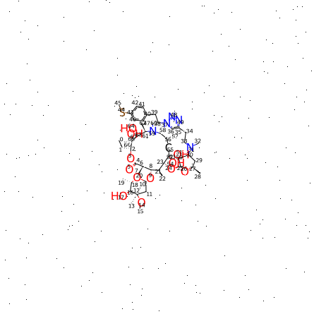 CC[C@H]1OC(=O)[C@H](C)[C@@H](O[C@H]2C[C@@](C)(OC)[C@@H](O)[C@H](C)O2)[C@H](C)[C@@H](O[C@@H]2O[C@H](C)C[C@H](N(C)CCc3cn(CCc4ccc(SC)cc4)nn3)[C@H]2O)[C@](C)(O)C[C@@H](C)CN(C)[C@H](C)[C@@H](O)[C@]1(C)O